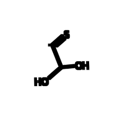 OC(O)[C]=S